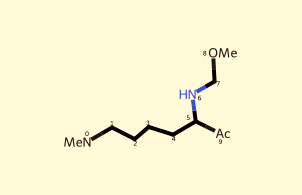 CNCCCCC(NCOC)C(C)=O